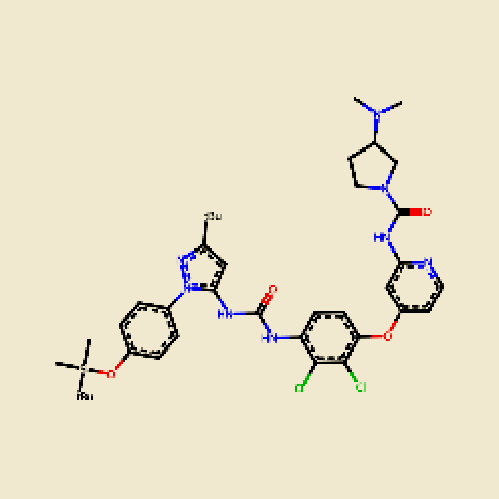 CN(C)[C@@H]1CCN(C(=O)Nc2cc(Oc3ccc(NC(=O)Nc4cc(C(C)(C)C)nn4-c4ccc(O[Si](C)(C)C(C)(C)C)cc4)c(Cl)c3Cl)ccn2)C1